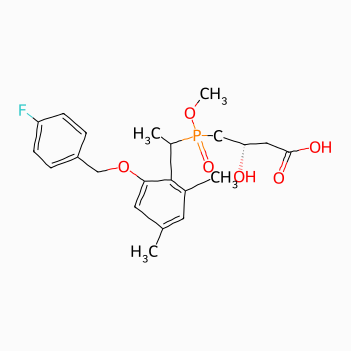 COP(=O)(C[C@@H](O)CC(=O)O)C(C)c1c(C)cc(C)cc1OCc1ccc(F)cc1